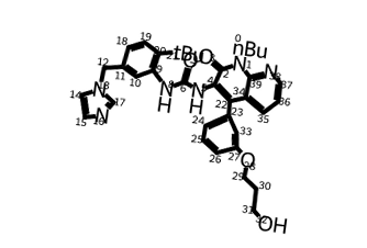 CCCCn1c(=O)c(NC(=O)Nc2cc(Cn3ccnc3)ccc2C(C)(C)C)c(-c2cccc(OCCCO)c2)c2cccnc21